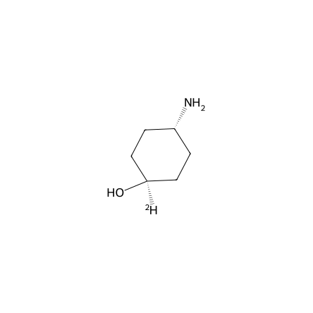 [2H][C@]1(O)CC[C@H](N)CC1